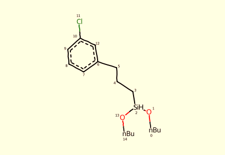 CCCCO[SiH](CCCc1cccc(Cl)c1)OCCCC